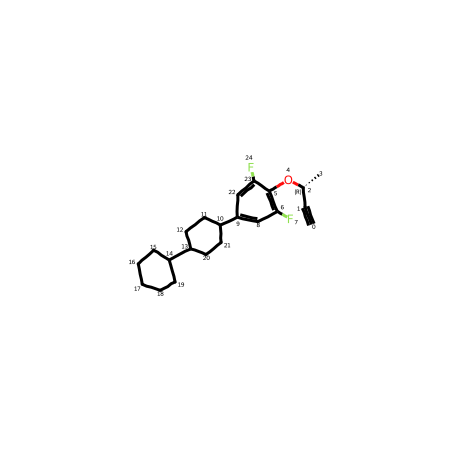 C#C[C@@H](C)Oc1c(F)cc(C2CCC(C3CCCCC3)CC2)cc1F